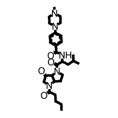 CCCCC(=O)N1CC(=O)C2C1CCN2C(=O)C(CC(C)C)NC(=O)c1ccc(N2CCN(C)CC2)cc1